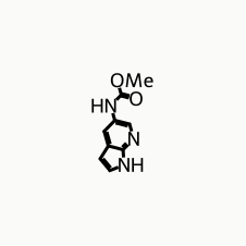 COC(=O)Nc1cnc2[nH]ccc2c1